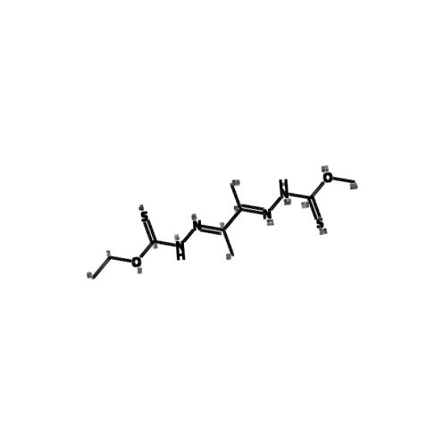 CCOC(=S)N/N=C(C)/C(C)=N/NC(=S)OC